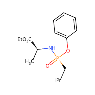 CCOC(=O)[C@H](C)N[P@](=O)(CC(C)C)Oc1ccccc1